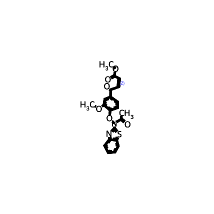 COC(=O)/C=C\C(=O)c1ccc(ON(C(C)=O)c2nc3ccccc3s2)c(OC)c1